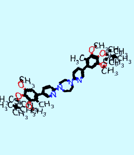 COc1cc(-c2ccc(N3CCCN(c4ccc(-c5cc(OC)c(O[Si](C)(C)C(C)(C)C)c(OC)c5C)cn4)CC3)nc2)c(C)c(OC)c1O[Si](C)(C)C(C)(C)C